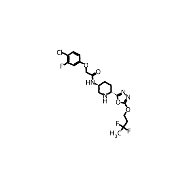 CC(F)(F)CCOc1nnc([C@H]2CC[C@H](NC(=O)COc3ccc(Cl)c(F)c3)CN2)o1